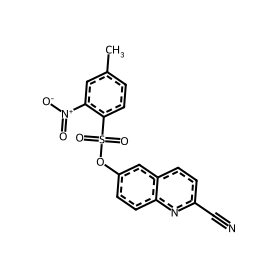 Cc1ccc(S(=O)(=O)Oc2ccc3nc(C#N)ccc3c2)c([N+](=O)[O-])c1